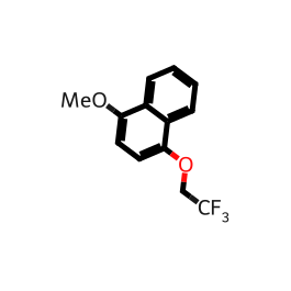 COc1ccc(OCC(F)(F)F)c2ccccc12